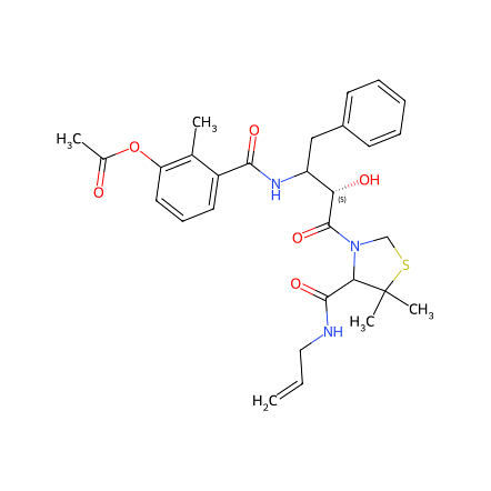 C=CCNC(=O)C1N(C(=O)[C@@H](O)C(Cc2ccccc2)NC(=O)c2cccc(OC(C)=O)c2C)CSC1(C)C